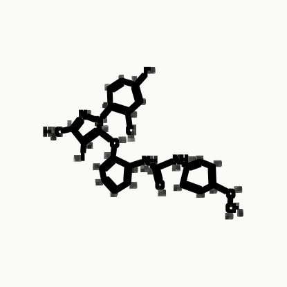 Cc1nn(-c2ccc(F)cc2Cl)c(Oc2ccccc2NC(=O)Nc2ccc(OC(F)(F)F)cc2)c1I